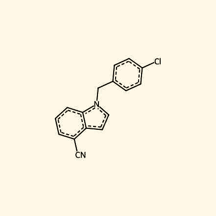 N#Cc1cccc2c1ccn2Cc1ccc(Cl)cc1